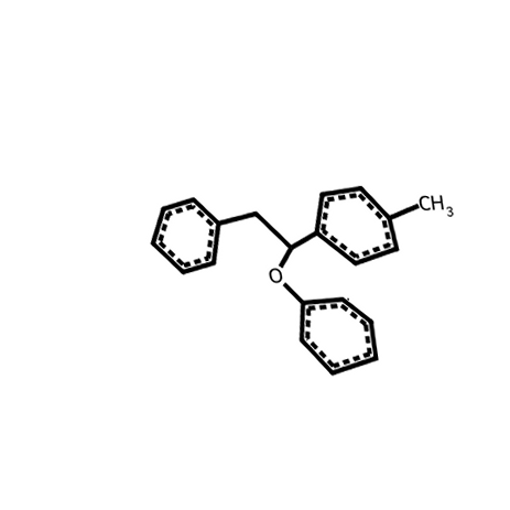 Cc1ccc(C(Cc2ccccc2)Oc2[c]cccc2)cc1